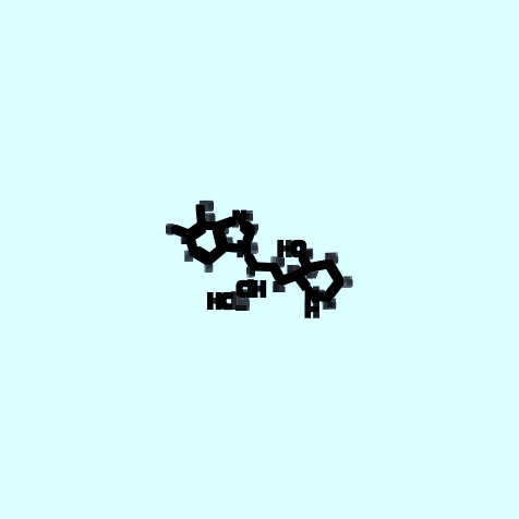 Cc1ccc2c(ncn2CCCC2NCCCC2O)c1C.Cl.Cl